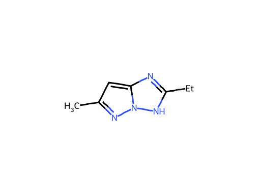 CCc1nc2cc(C)nn2[nH]1